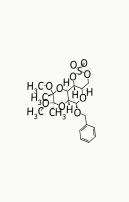 CO[C@]1(C)O[C@@H]2[C@@H](O[C@@]1(C)OC)[C@H](OCc1ccccc1)O[C@@H]1COS(=O)(=O)O[C@@H]21